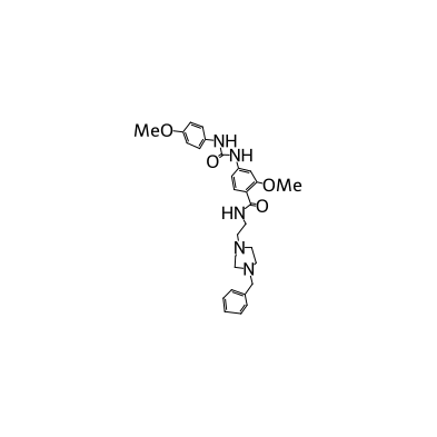 COc1ccc(NC(=O)Nc2ccc(C(=O)NCCN3CCN(Cc4ccccc4)CC3)c(OC)c2)cc1